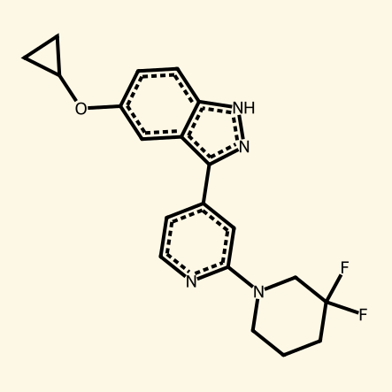 FC1(F)CCCN(c2cc(-c3n[nH]c4ccc(OC5CC5)cc34)ccn2)C1